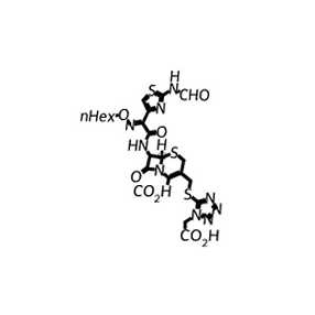 CCCCCCON=C(C(=O)NC1C(=O)N2C(C(=O)O)=C(CSc3nnnn3CC(=O)O)CS[C@@H]12)c1csc(NC=O)n1